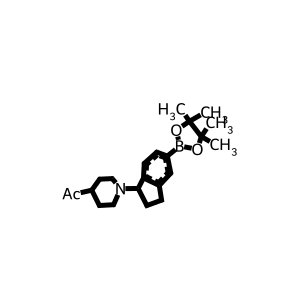 CC(=O)C1CCN(C2CCc3cc(B4OC(C)(C)C(C)(C)O4)ccc32)CC1